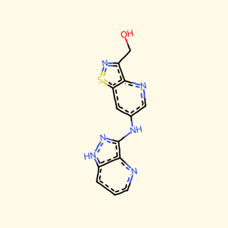 OCc1nsc2cc(Nc3n[nH]c4cccnc34)cnc12